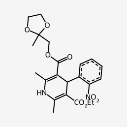 CCOC(=O)C1=C(C)NC(C)=C(C(=O)OCC2(C)OCCO2)C1c1ccccc1[N+](=O)[O-]